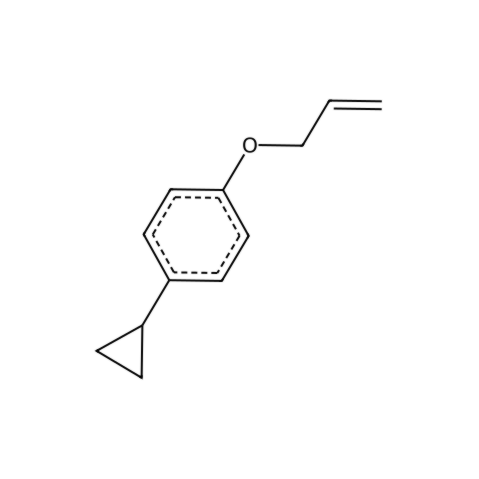 C=CCOc1ccc(C2CC2)cc1